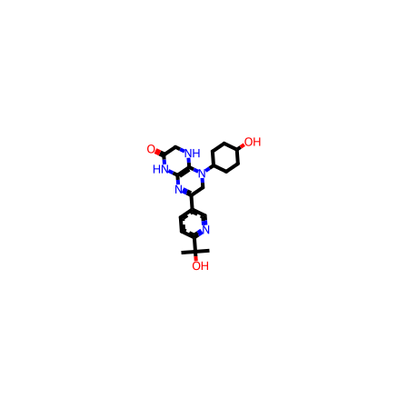 CC(C)(O)c1ccc(C2=NC3=C(NCC(=O)N3)N(C3CCC(O)CC3)C2)cn1